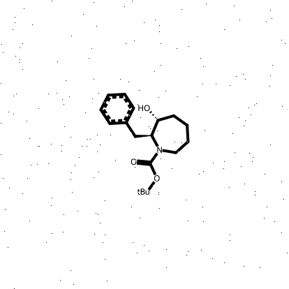 CC(C)(C)OC(=O)N1CCCC[C@@H](O)[C@@H]1Cc1ccccc1